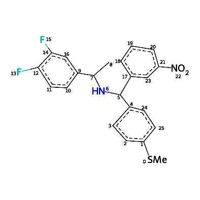 CSc1ccc(C(NC(C)c2ccc(F)c(F)c2)c2cccc([N+](=O)[O-])c2)cc1